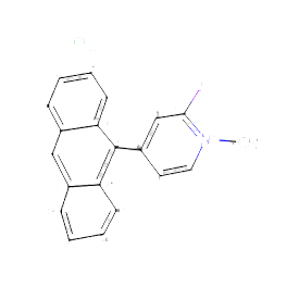 C[n+]1ccc(-c2c3ccccc3cc3ccccc23)cc1I.[Cl-]